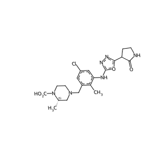 Cc1c(CN2CCN(C(=O)O)[C@@H](C)C2)cc(Cl)cc1Nc1nnc(C2CCNC2=O)o1